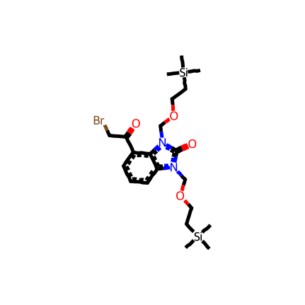 C[Si](C)(C)CCOCn1c(=O)n(COCC[Si](C)(C)C)c2c(C(=O)CBr)cccc21